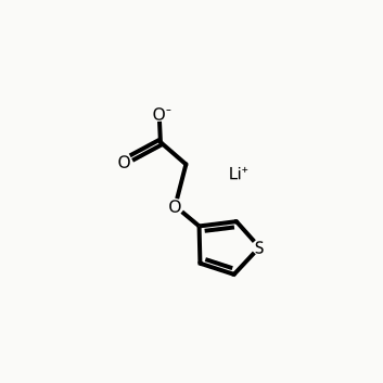 O=C([O-])COc1ccsc1.[Li+]